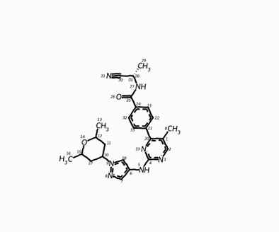 Cc1cnc(Nc2cnn(C3CC(C)OC(C)C3)c2)nc1-c1ccc(C(=O)N[C@@H](C)C#N)cc1